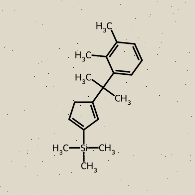 Cc1cccc(C(C)(C)C2=CC([Si](C)(C)C)=CC2)c1C